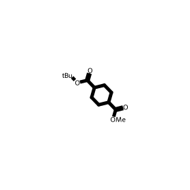 COC(=O)C1CCC(C(=O)OC(C)(C)C)CC1